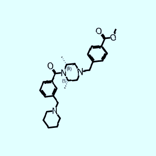 COC(=O)c1ccc(CN2C[C@@H](C)N(C(=O)c3cccc(CN4CCCCC4)c3)[C@@H](C)C2)cc1